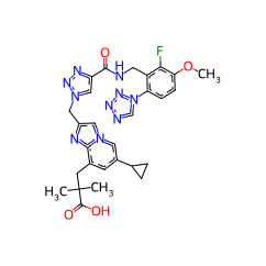 COc1ccc(-n2cnnn2)c(CNC(=O)c2cn(Cc3cn4cc(C5CC5)cc(CC(C)(C)C(=O)O)c4n3)nn2)c1F